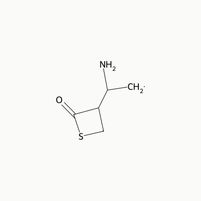 [CH2]C(N)C1CSC1=O